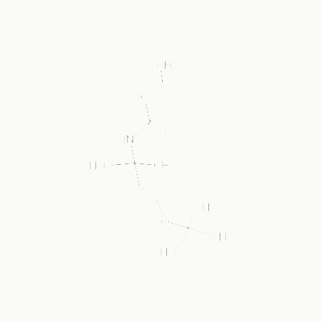 CCOC(=O)NC(C)(C)CCOC(C)(C)C